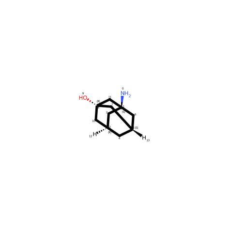 N[C@]12C[C@H]3C[C@@H](C1)C[C@@](O)(C3)C2